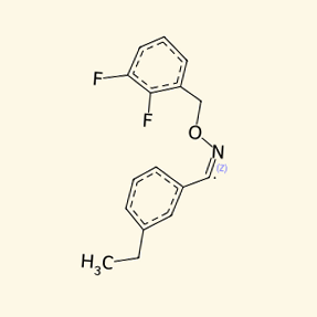 CCc1cccc(/[C]=N\OCc2cccc(F)c2F)c1